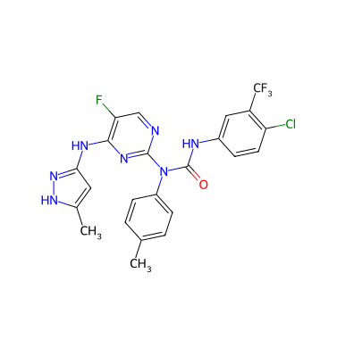 Cc1ccc(N(C(=O)Nc2ccc(Cl)c(C(F)(F)F)c2)c2ncc(F)c(Nc3cc(C)[nH]n3)n2)cc1